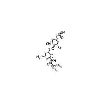 Cc1cc(COc2c(Cl)cc(CC(=O)O)cc2Cl)cc(NC(=O)C(C)C)c1